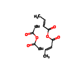 C/C=C/C(=O)OC(=O)/C=C/C.CC(C)(C)C(=O)OC(=O)C(C)(C)C